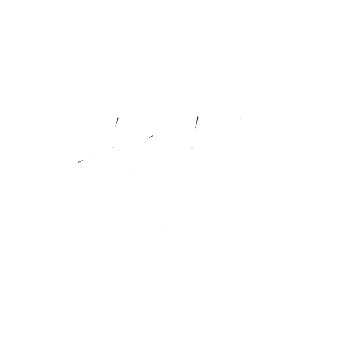 CC(C)(C)[C@H](NC(=O)C(F)(F)F)C(=O)N1C[C@H]2[C@@H]([C@H]1C(=O)N[C@@H](C#N)CC1C(=O)Nc3ccccc31)C2(C)C